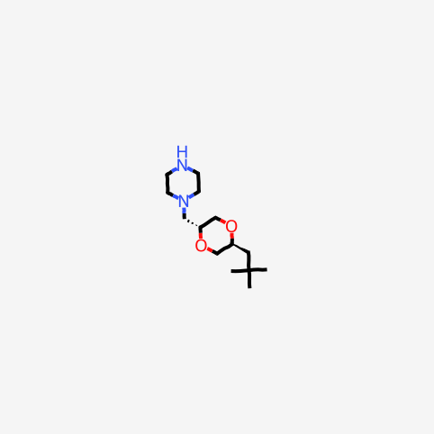 CC(C)(C)C[C@H]1CO[C@H](CN2CCNCC2)CO1